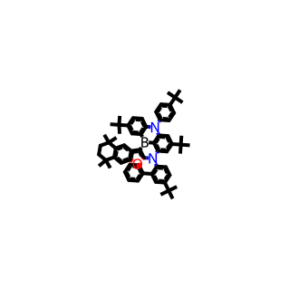 CC(C)(C)c1ccc(N2c3ccc(C(C)(C)C)cc3B3c4c2cc(C(C)(C)C)cc4N(c2ccc(C(C)(C)C)cc2-c2ccccc2)c2oc4cc5c(cc4c23)C(C)(C)CCC5(C)C)cc1